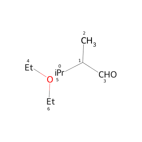 CC(C)C(C)C=O.CCOCC